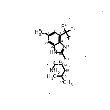 Cc1cc(C(F)(F)F)c2nc(C[C@@H](CN)CC(C)C)[nH]c2c1